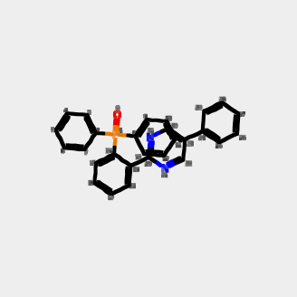 O=P(c1ccccc1)(c1ccccc1)c1ccccc1-c1ncc(-c2ccccc2)cn1